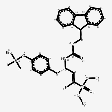 CCOP(=O)(OCC)/C(F)=C/[C@H](Cc1ccc(O[Si](C)(C)C(C)(C)C)cc1)NC(=O)OCC1c2ccccc2-c2ccccc21